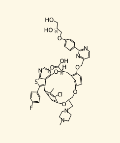 Cc1c2ccc(c1Cl)OC(CN1CCN(C)CC1)COc1ccc(OCc3ccnc(-c4ccc(OC[C@H](O)CO)cc4)n3)c(c1)C[C@@H](C(=O)O)Oc1ncnc3sc(-c4ccc(F)cc4)c-2c13